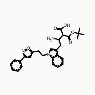 CC(C)(C)OC(=O)C(C(=O)O)C(N)Cc1cn(CCc2cc(-c3ccccc3)no2)c2ccccc12